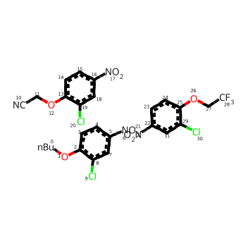 CCCCOc1ccc([N+](=O)[O-])cc1Cl.N#CCOc1ccc([N+](=O)[O-])cc1Cl.O=[N+]([O-])c1ccc(OCC(F)(F)F)c(Cl)c1